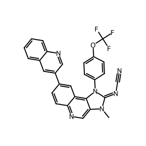 Cn1/c(=N/C#N)n(-c2ccc(OC(F)(F)F)cc2)c2c3cc(-c4cnc5ccccc5c4)ccc3ncc21